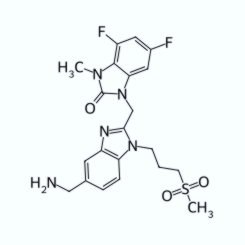 Cn1c(=O)n(Cc2nc3cc(CN)ccc3n2CCCS(C)(=O)=O)c2cc(F)cc(F)c21